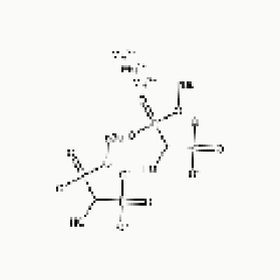 CCCCOP(=O)([O-])C(O)P(=O)([O-])[O-].CCCCOP(=O)([O-])C(O)P(=O)([O-])[O-].[Mg+2].[Mg+2].[Mg+2]